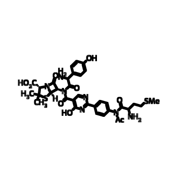 CSCCC(N)C(=O)N(C(C)=O)c1ccc(-c2ncc(C(=O)N(C(=O)C(N)c3ccc(O)cc3)[C@@H]3C(=O)N4[C@@H]3SC(C)(C)[C@@H]4C(=O)O)c(O)n2)cc1